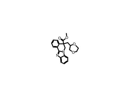 COC(=O)C1(CC2COCCO2)Cn2c(nc3ccccc32)-c2ccccc21